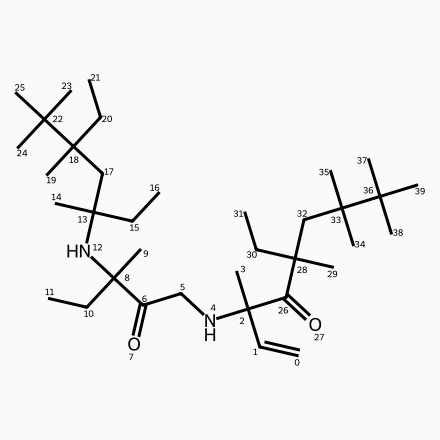 C=CC(C)(NCC(=O)C(C)(CC)NC(C)(CC)CC(C)(CC)C(C)(C)C)C(=O)C(C)(CC)CC(C)(C)C(C)(C)C